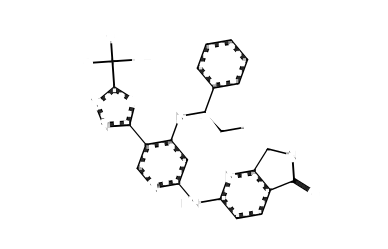 CC(C)(O)c1nnc(-c2cnc(Nc3ccc4c(n3)CNC4=O)cc2N[C@H](CF)c2ccccc2)o1